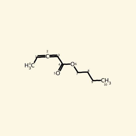 CC=C=[C]C(=O)OCCCC